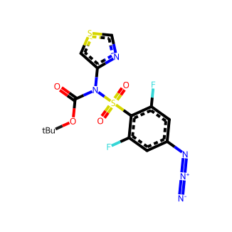 CC(C)(C)OC(=O)N(c1cscn1)S(=O)(=O)c1c(F)cc(N=[N+]=[N-])cc1F